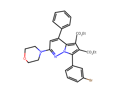 CCOC(=O)c1c(C(=O)OCC)c2c(-c3ccccc3)cc(N3CCOCC3)nn2c1-c1cccc(Br)c1